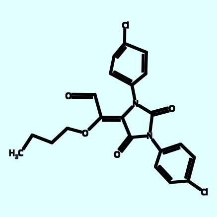 CCCCOC(C=O)=C1C(=O)N(c2ccc(Cl)cc2)C(=O)N1c1ccc(Cl)cc1